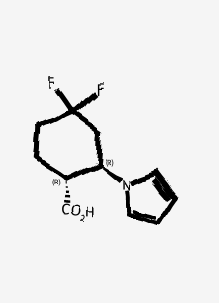 O=C(O)[C@@H]1CCC(F)(F)C[C@H]1n1cccc1